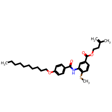 C=C(C)CCOC(=O)c1ccc(SC)c(NC(=O)c2ccc(OCCCCCCCCCC)cc2)c1